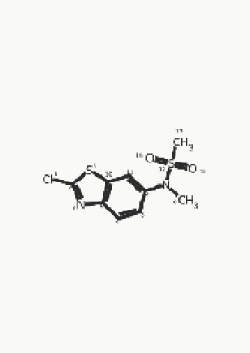 CN(c1ccc2nc(Cl)sc2c1)S(C)(=O)=O